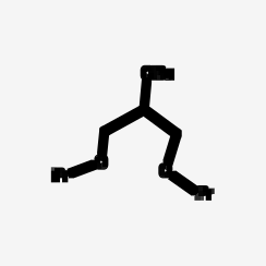 CC(C)COC(COC(C)C)COC(C)C